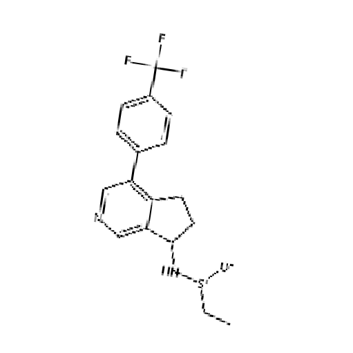 CC[S+]([O-])NC1CCc2c(-c3ccc(C(F)(F)F)cc3)cncc21